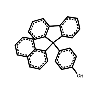 Oc1ccc(C2(c3cccc4ccccc34)c3ccccc3-c3ccccc32)cc1